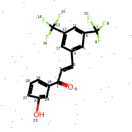 O=C(C=Cc1cc(C(F)(F)F)cc(C(F)(F)F)c1)c1cccc(O)c1